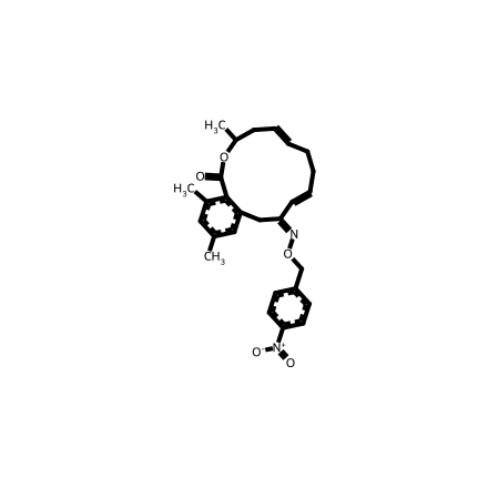 Cc1cc(C)c2c(c1)CC(=NOCc1ccc([N+](=O)[O-])cc1)/C=C/CC/C=C/CC(C)OC2=O